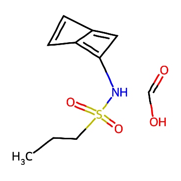 CCCS(=O)(=O)Nc1cc2ccc1-2.O=CO